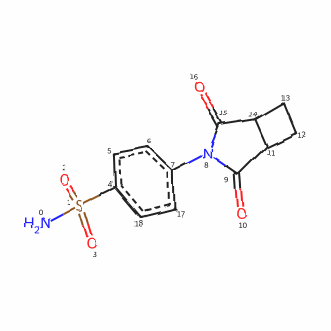 NS(=O)(=O)c1ccc(N2C(=O)C3CCC3C2=O)cc1